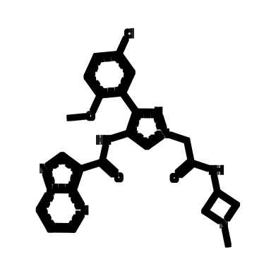 COc1ccc(Cl)cc1-c1nn(CC(=O)NC2CN(C)C2)cc1NC(=O)c1cnn2cccnc12